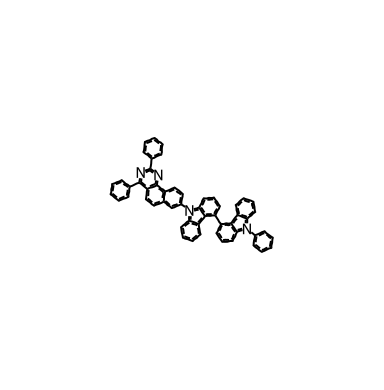 c1ccc(-c2nc(-c3ccccc3)c3ccc4cc(-n5c6ccccc6c6c(-c7cccc8c7c7ccccc7n8-c7ccccc7)cccc65)ccc4c3n2)cc1